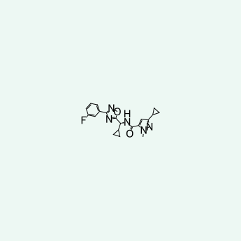 Cn1nc(C2CC2)cc1C(=O)N[C@H](c1nc(-c2cccc(F)c2)no1)C1CC1